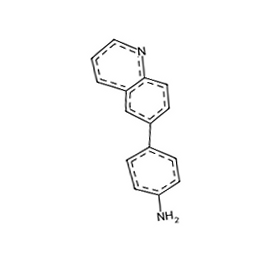 Nc1ccc(-c2ccc3ncccc3c2)cc1